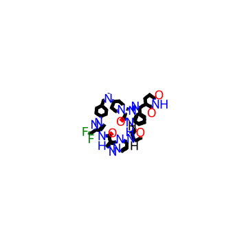 CN(CC1CCC(n2cc(NC(=O)c3cnn4ccc(N5C[C@H]6C[C@@H]5CO6)nc34)c(C(F)F)n2)CC1)C1CCN(CC(=O)Nc2cccc3c(C4CCC(=O)NC4=O)nn(C)c23)CC1